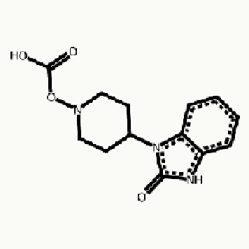 O=C(O)ON1CCC(n2c(=O)[nH]c3ccccc32)CC1